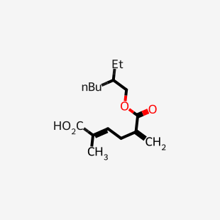 C=C(CC=C(C)C(=O)O)C(=O)OCC(CC)CCCC